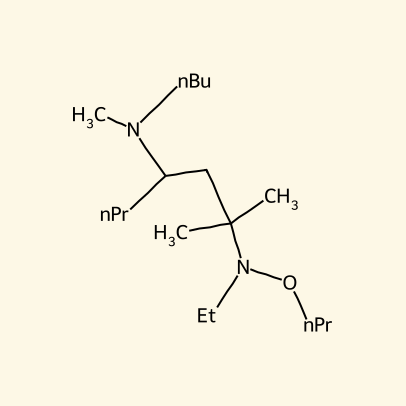 CCCCN(C)C(CCC)CC(C)(C)N(CC)OCCC